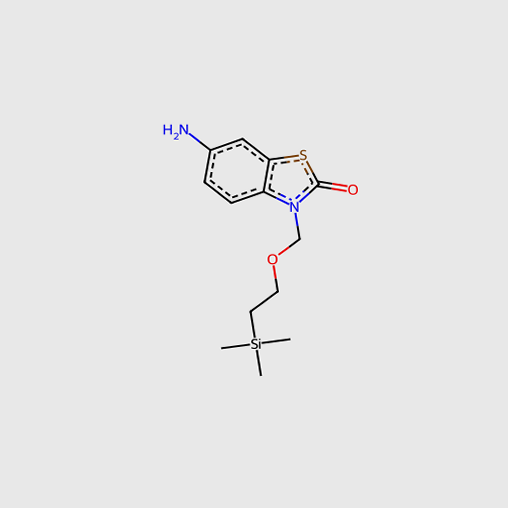 C[Si](C)(C)CCOCn1c(=O)sc2cc(N)ccc21